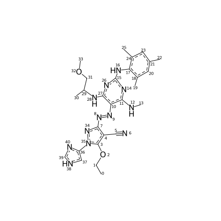 CCOc1c(C#N)c(N=Nc2c(NC)nc(Nc3c(C)cc(C)cc3C)nc2NC(C)COC)nn1-c1c[nH]cn1